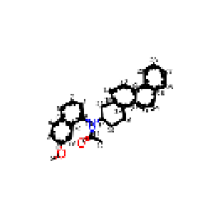 COc1ccc2cccc(N(C(C)=O)C3CCc4c(ccc5c4ccc4ccccc45)C3)c2c1